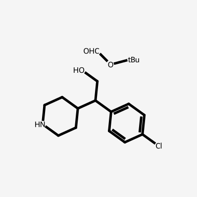 CC(C)(C)OC=O.OCC(c1ccc(Cl)cc1)C1CCNCC1